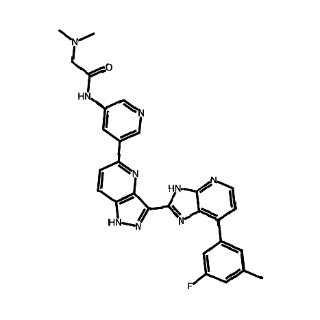 Cc1cc(F)cc(-c2ccnc3[nH]c(-c4n[nH]c5ccc(-c6cncc(NC(=O)CN(C)C)c6)nc45)nc23)c1